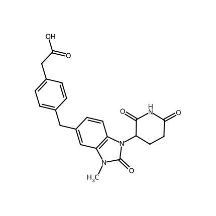 Cn1c(=O)n(C2CCC(=O)NC2=O)c2ccc(Cc3ccc(CC(=O)O)cc3)cc21